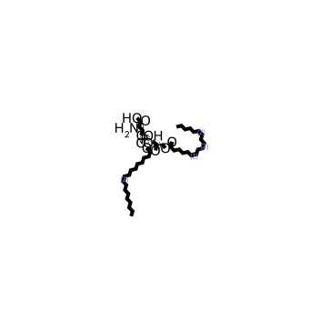 CCCCC/C=C\C/C=C\C/C=C\CCCCC(=O)OC[C@H](COP(=O)(O)OC[C@H](N)C(=O)O)OC(=O)CCCCCCC/C=C\CCCCCCCC